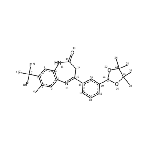 Cc1cc2c(cc1C(F)(F)F)NC(=O)CC(c1cccc(B3OC(C)(C)C(C)(C)O3)c1)=N2